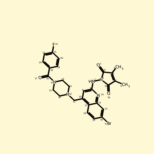 CC1=C(C)C(=O)N(Nc2cc(CN3CCN(C(=O)c4ccc(F)cc4)CC3)c3ccc(Br)cc3n2)C1=O